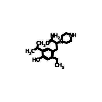 CCc1cc(O)c(C(C)C)cc1CC(C(N)=O)N1CCNCC1